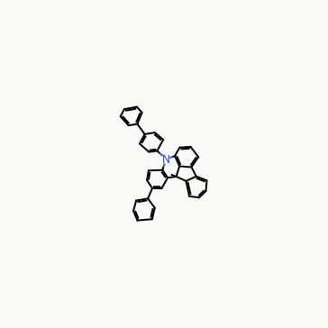 CC12c3ccccc3-c3cccc(c31)N(c1ccc(-c3ccccc3)cc1)c1ccc(-c3ccccc3)cc12